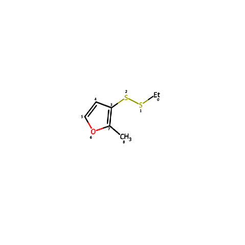 CCSSc1ccoc1C